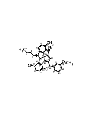 CCCCN1C(=O)C2(C(C#N)=CC3=C2C2=CC(Cl)CC=C2OC3c2cccc(OC)c2)c2cc(C)ccc21